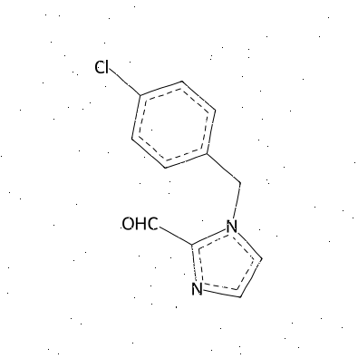 O=Cc1nccn1Cc1ccc(Cl)cc1